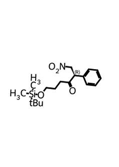 CC(C)(C)[Si](C)(C)OCCCC(=O)[C@@H](C[N+](=O)[O-])c1ccccc1